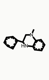 CN1CC(c2ccccc2)Nc2ccccc21